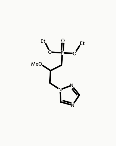 CCOP(=O)(CC(Cn1cncn1)OC)OCC